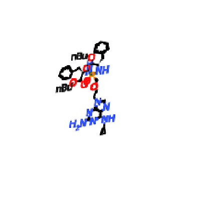 CCCCOC(=O)[C@H](Cc1ccccc1)NP(=O)(COCCn1cnc2c(NC3CC3)nc(N)nc21)N[C@@H](Cc1ccccc1)C(=O)OCCCC